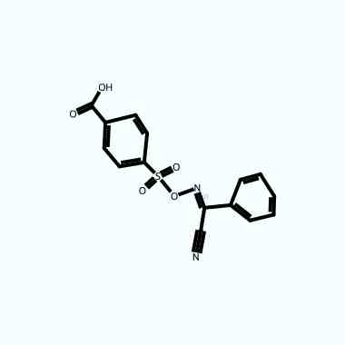 N#C/C(=N\OS(=O)(=O)c1ccc(C(=O)O)cc1)c1ccccc1